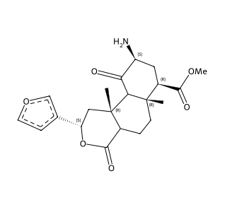 COC(=O)[C@@H]1C[C@H](N)C(=O)C2[C@@]3(C)C[C@@H](c4ccoc4)OC(=O)C3CC[C@]21C